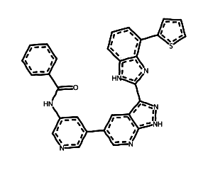 O=C(Nc1cncc(-c2cnc3[nH]nc(-c4nc5c(-c6cccs6)cccc5[nH]4)c3c2)c1)c1ccccc1